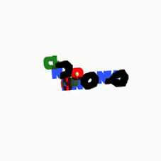 O=S(=O)(NC1CCC(NCc2ccccc2)CC1)c1ccc(Cl)nc1